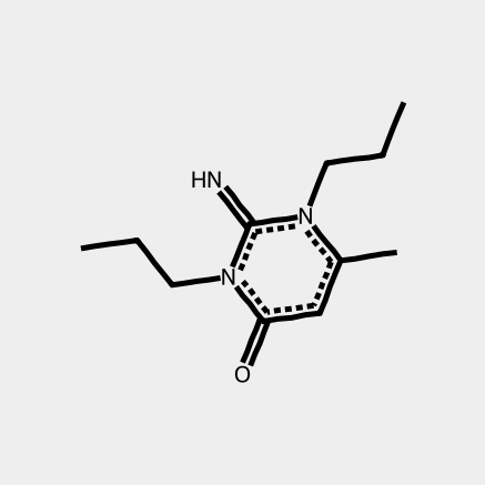 CCCn1c(C)cc(=O)n(CCC)c1=N